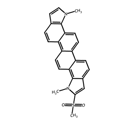 Cn1ccc2ccc3c4ccc5c(ccc6cc(S(C)(=O)=O)n(C)c65)c4ccc3c21